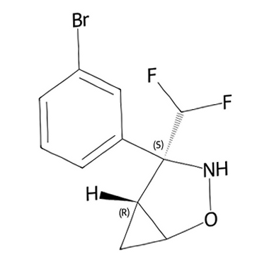 FC(F)[C@]1(c2cccc(Br)c2)NOC2C[C@@H]21